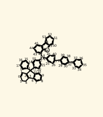 C1=CC2=C(CC1)c1ccccc1C2(c1ccccc1)c1ccc(N(c2ccc(-c3ccc(-c4ccccc4)cc3)cc2)c2cccc3c2oc2ccccc23)cc1